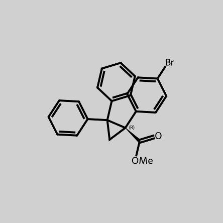 COC(=O)[C@@]1(c2ccc(Br)cc2)CC1(c1ccccc1)c1ccccc1